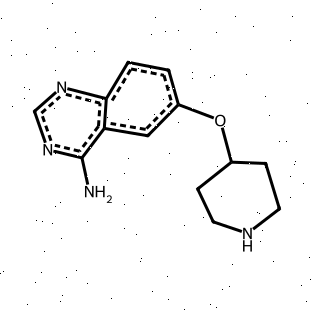 Nc1ncnc2ccc(OC3CCNCC3)cc12